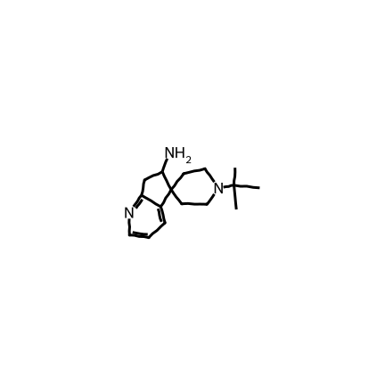 CC(C)(C)N1CCC2(CC1)c1cccnc1CC2N